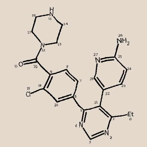 CCc1ncnc(-c2ccc(C(=O)N3CCNCC3)c(Cl)c2)c1-c1ccc(N)nc1